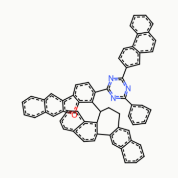 c1ccc(-c2nc(-c3ccc4c(ccc5ccccc54)c3)nc(-c3ccc4c(oc5cc6ccccc6cc54)c3C3CCc4cc5ccccc5cc4-c4ccc5ccccc5c43)n2)cc1